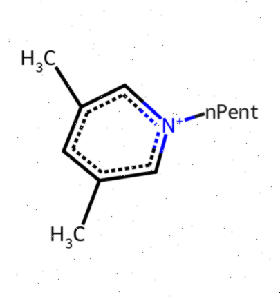 CCCCC[n+]1cc(C)cc(C)c1